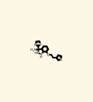 NC1(c2nccs2)NNc2c(OCCc3ccsc3)cccc21